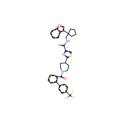 O=C(NCC1(c2coc3ccccc23)CCCC1)c1csc(C2CCN(C(=O)c3ccccc3-c3ccc(C(F)(F)F)cc3)CC2)n1